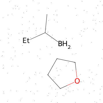 BC(C)CC.C1CCOC1